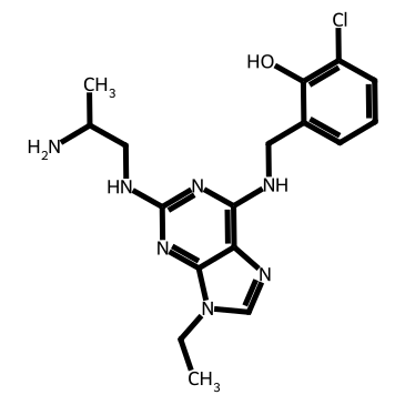 CCn1cnc2c(NCc3cccc(Cl)c3O)nc(NCC(C)N)nc21